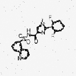 Cn1cc(C(=O)NS(=O)(=O)c2cccc3ncccc23)nc1-c1c(F)cccc1F